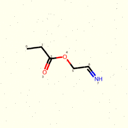 CCC(=O)OCC=N